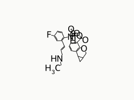 CCNCC=Cc1cc(F)ccc1N(c1ccc2c(c1C(=O)O)OCC1CC21)[SH](=O)=O